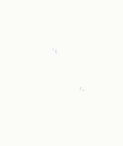 O=C1CCCN1Cc1ccc(O)c(-c2cccc([N+](=O)[O-])c2)c1